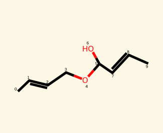 CC=CCOC(O)C=CC